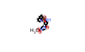 COC(=O)N1CCN(C(=O)c2ccc(NS(=O)(=O)c3cccc4cccnc34)cc2)CC1